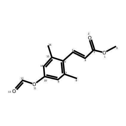 COC(=O)C=Cc1c(C)cc(OC=O)cc1C